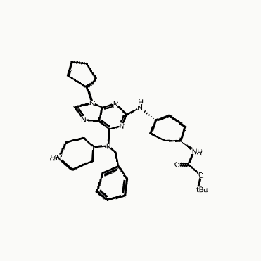 CC(C)(C)OC(=O)N[C@H]1CC[C@H](Nc2nc(N(Cc3ccccc3)C3CCNCC3)c3ncn(C4CCCC4)c3n2)CC1